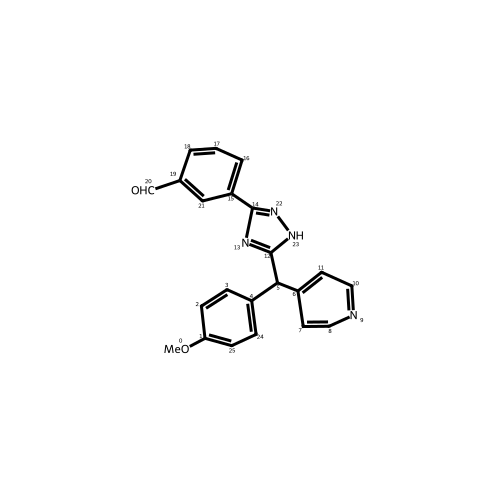 COc1ccc(C(c2ccncc2)c2nc(-c3cccc(C=O)c3)n[nH]2)cc1